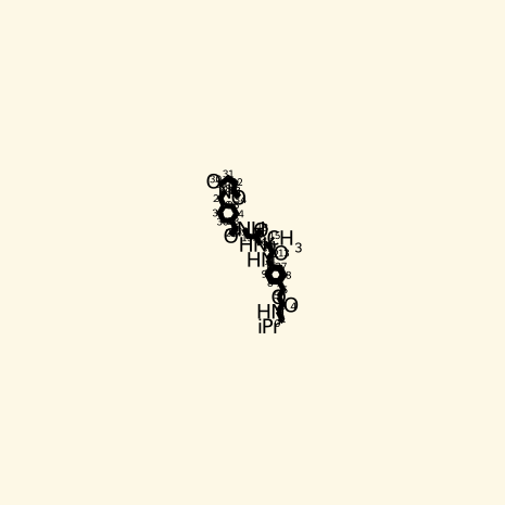 CC(C)CNC(=O)OCc1ccc(NC(=O)[C@H](C)NC(=O)CNC(=O)C2CCC(CN3C(=O)C=CC3=O)CC2)cc1